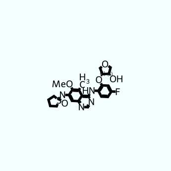 COc1c(N=S2(=O)CCCC2)cc2ncnc(Nc3ccc(F)cc3O[C@H]3COC[C@@H]3O)c2c1C